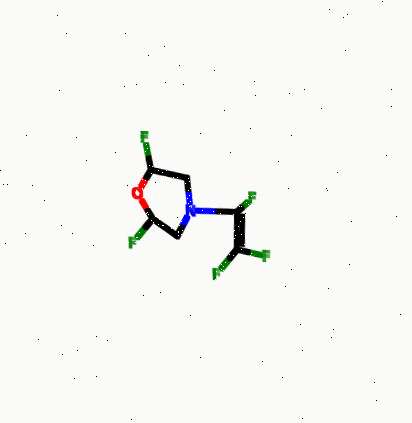 FC(F)=C(F)N1CC(F)OC(F)C1